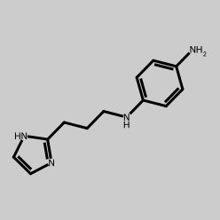 Nc1ccc(NCCCc2ncc[nH]2)cc1